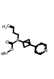 C=CCCN(C(=O)OC(C)(C)C)C12CC(c3ccncc3)(C1)C2